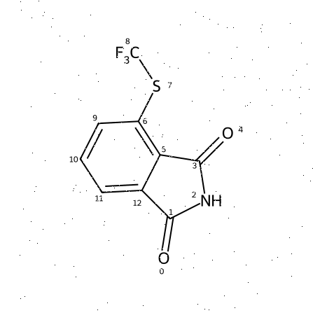 O=C1NC(=O)c2c(SC(F)(F)F)cccc21